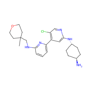 CC1(CNc2cccc(-c3cc(N[C@H]4CC[C@H](N)CC4)ncc3Cl)n2)CCOCC1